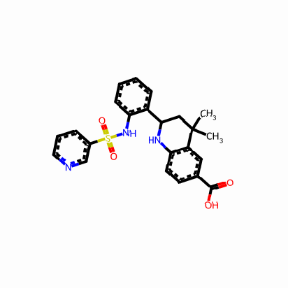 CC1(C)CC(c2ccccc2NS(=O)(=O)c2cccnc2)Nc2ccc(C(=O)O)cc21